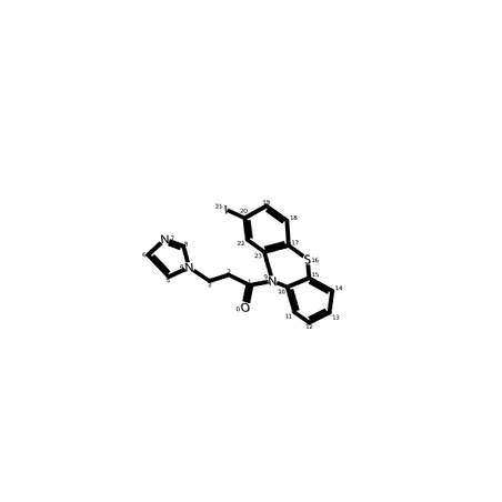 O=C(CCn1ccnc1)N1c2ccccc2Sc2ccc(I)cc21